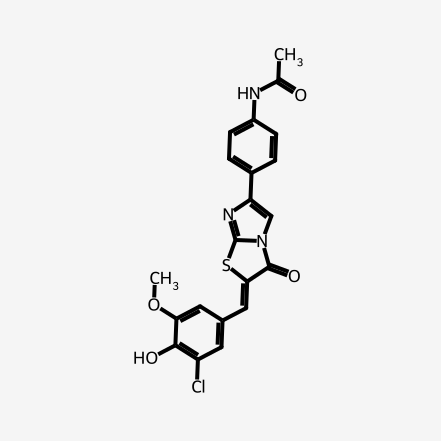 COc1cc(/C=c2\sc3nc(-c4ccc(NC(C)=O)cc4)cn3c2=O)cc(Cl)c1O